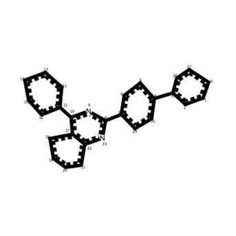 c1ccc(-c2ccc(-c3nc(-c4ccccc4)c4ccccc4n3)cc2)cc1